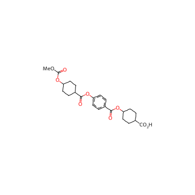 COC(=O)OC1CCC(C(=O)Oc2ccc(C(=O)OC3CCC(C(=O)O)CC3)cc2)CC1